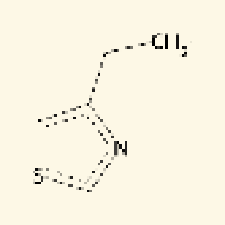 [CH2]Cc1cscn1